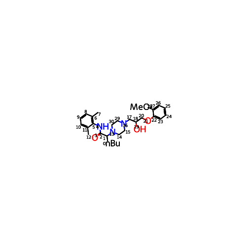 CCCCC(C(=O)Nc1c(C)cccc1C)N1CCN(CC(O)COc2ccccc2OC)CC1